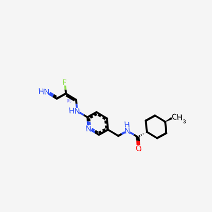 C[C@H]1CC[C@H](C(=O)NCc2ccc(N/C=C(/F)C=N)nc2)CC1